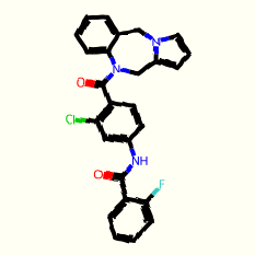 O=C(Nc1ccc(C(=O)N2Cc3cccn3Cc3ccccc32)c(Cl)c1)c1ccccc1F